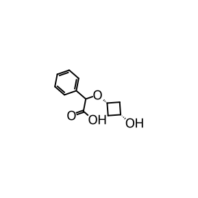 O=C(O)C(O[C@H]1C[C@@H](O)C1)c1ccccc1